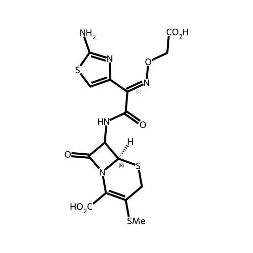 CSC1=C(C(=O)O)N2C(=O)C(NC(=O)/C(=N/OCC(=O)O)c3csc(N)n3)[C@H]2SC1